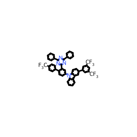 FC(F)(F)c1ccc(-c2ccc(-n3c4ccccc4c4cc(-c5cc(C(F)(F)F)cc(C(F)(F)F)c5)ccc43)cc2-c2nc(-c3ccccc3)nc(-c3ccccc3)n2)cc1